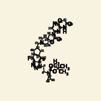 CC(C)(C)OC(=O)N(CCn1nnc2c(F)c3c(c(F)c21)CC(CN1CCC2(CC1)CN(c1cnc4c(n1)NC(=O)CO4)C(=O)O2)C3)C1CC1